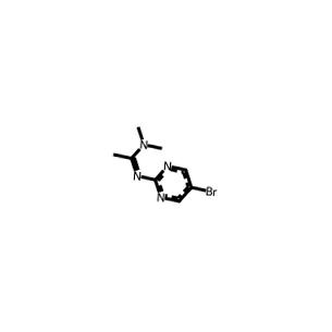 CC(=Nc1ncc(Br)cn1)N(C)C